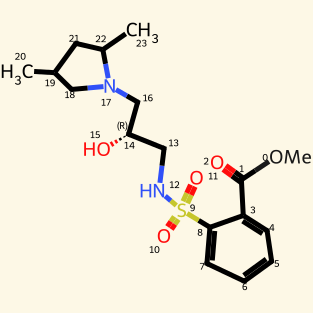 COC(=O)c1ccccc1S(=O)(=O)NC[C@H](O)CN1CC(C)CC1C